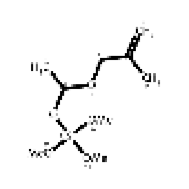 C=C(C)COC(C)O[Si](OC)(OC)OC